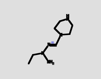 CCN(N)/N=C/N1CCNCC1